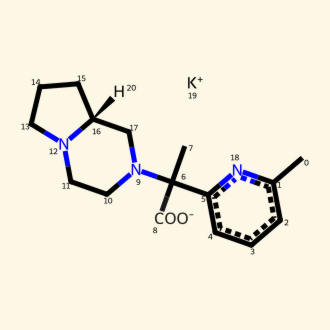 Cc1cccc(C(C)(C(=O)[O-])N2CCN3CCC[C@@H]3C2)n1.[K+]